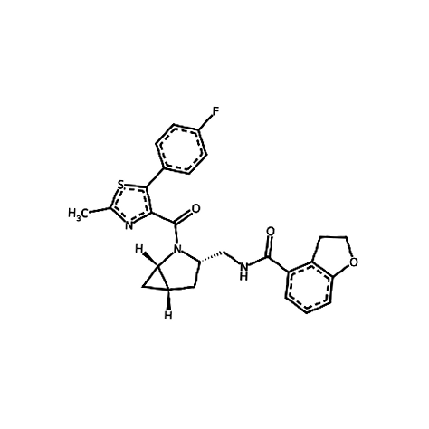 Cc1nc(C(=O)N2[C@H](CNC(=O)c3cccc4c3CCO4)C[C@@H]3C[C@@H]32)c(-c2ccc(F)cc2)s1